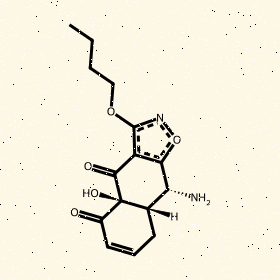 CCCCOc1noc2c1C(=O)[C@@]1(O)C(=O)C=CC[C@H]1[C@H]2N